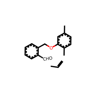 C=CC.Cc1ccc(C)c(OCc2ccccc2C=O)c1